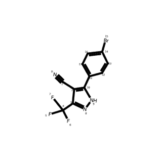 N#Cc1c(C(F)(F)F)n[nH]c1-c1ccc(Br)cc1